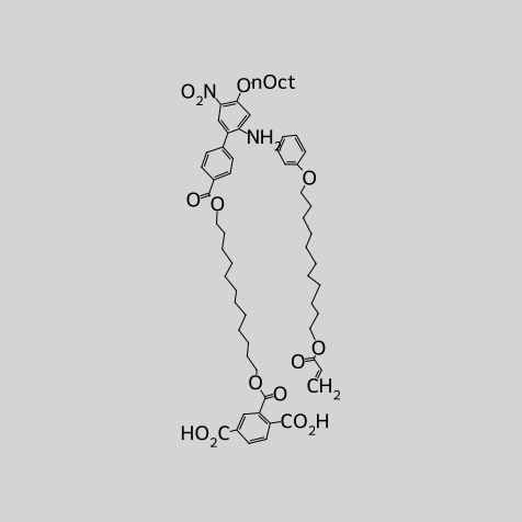 C=CC(=O)OCCCCCCCCCCCOc1ccccc1.CCCCCCCCOc1cc(N)c(-c2ccc(C(=O)OCCCCCCCCCCCCOC(=O)c3cc(C(=O)O)ccc3C(=O)O)cc2)cc1[N+](=O)[O-]